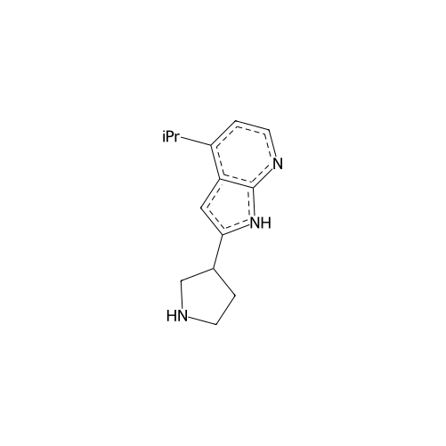 CC(C)c1ccnc2[nH]c(C3CCNC3)cc12